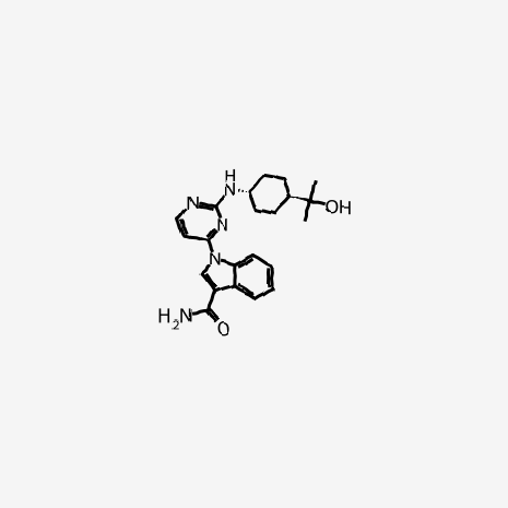 CC(C)(O)[C@H]1CC[C@H](Nc2nccc(-n3cc(C(N)=O)c4ccccc43)n2)CC1